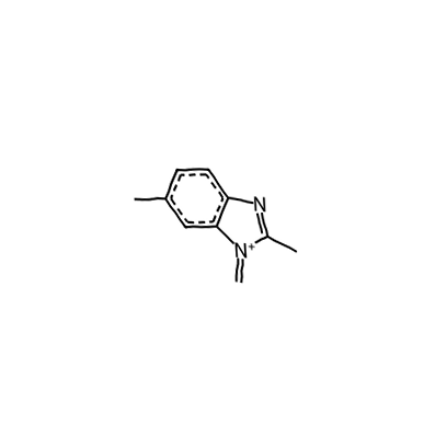 C=[N+]1C(C)=Nc2ccc(C)cc21